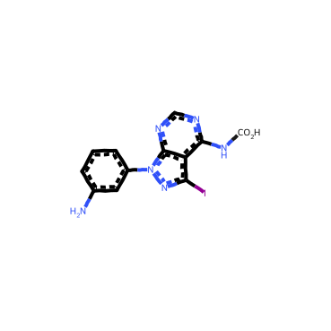 Nc1cccc(-n2nc(I)c3c(NC(=O)O)ncnc32)c1